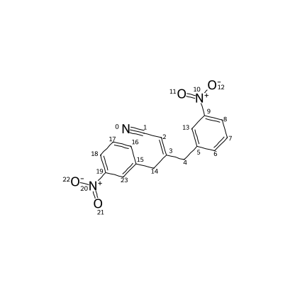 N#CC=C(Cc1cccc([N+](=O)[O-])c1)Cc1cccc([N+](=O)[O-])c1